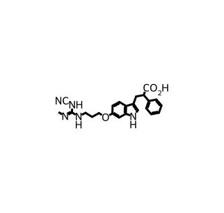 CN=C(NC#N)NCCCOc1ccc2c(CC(C(=O)O)c3ccccc3)c[nH]c2c1